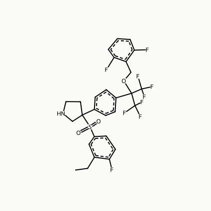 CCc1cc(S(=O)(=O)C2(c3ccc(C(OCc4c(F)cccc4F)(C(F)(F)F)C(F)(F)F)cc3)CCNC2)ccc1F